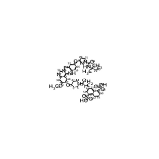 C=CC(=O)N1CCC(Oc2cc3c(Nc4ccc(Oc5ccn(C(=O)NC(C)(C)CF)n5)cc4F)ncnc3cc2OC)CC1.O=S(=O)(O)c1cccc2c(S(=O)(=O)O)cccc12